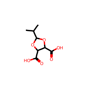 CC(C)C1OC(C(=O)O)C(C(=O)O)O1